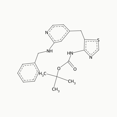 CC(C)(C)OC(=O)Nc1ncsc1Cc1ccnc(NCc2ccccc2)c1